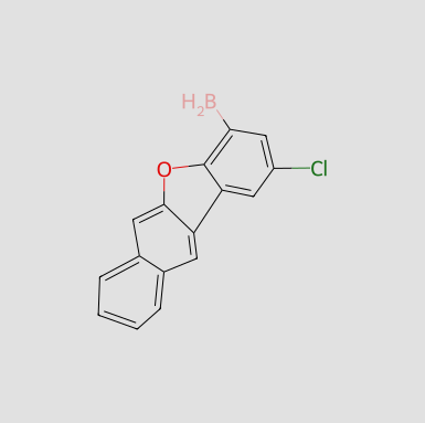 Bc1cc(Cl)cc2c1oc1cc3ccccc3cc12